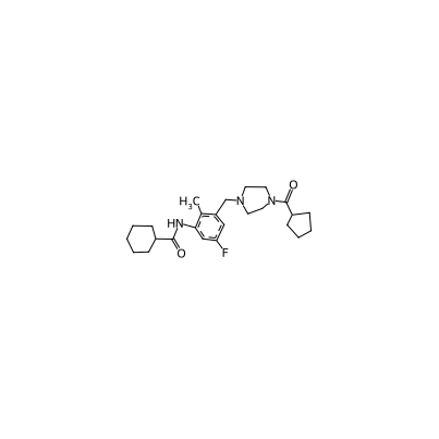 Cc1c(CN2CCN(C(=O)C3CCCC3)CC2)cc(F)cc1NC(=O)C1CCCCC1